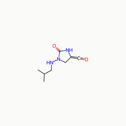 CC(C)CNN1CC(=C=O)NC1=O